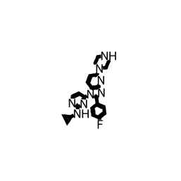 Fc1ccc(-c2nc3nc(N4CCNCC4)ccc3n2-c2ccnc(NC3CC3)n2)cc1